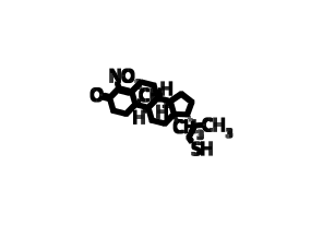 CC(CS)[C@H]1CC[C@H]2[C@@H]3CCC4=C([N+](=O)[O-])C(=O)CC[C@]4(C)[C@H]3CC[C@]12C